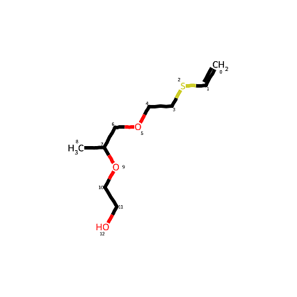 C=CSCCOCC(C)OCCO